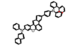 c1ccc(-c2ccccc2N(c2ccccc2)c2ccc(-c3ccc4cc5c6c(cccc6c4c3)Oc3cc(N(c4ccccc4)c4ccc6ccccc6c4)ccc3-5)cc2)cc1